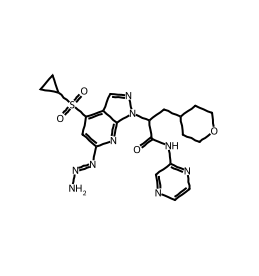 NN=Nc1cc(S(=O)(=O)C2CC2)c2cnn(C(CC3CCOCC3)C(=O)Nc3cnccn3)c2n1